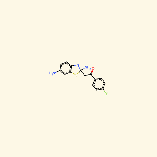 Nc1ccc2c(c1)SC(N)(CC(=O)c1ccc(F)cc1)[N]2